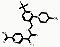 CC1CCN(c2nc(C(F)(F)F)ccc2CNC(=O)C(C)c2ccc(C(=O)O)nc2)CC1